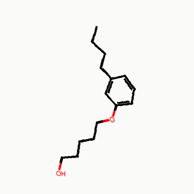 CCCCc1cccc(OCCCCCO)c1